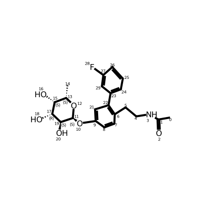 CC(=O)NCCc1ccc(O[C@@H]2O[C@@H](C)[C@@H](O)[C@@H](O)[C@@H]2O)cc1-c1cccc(F)c1